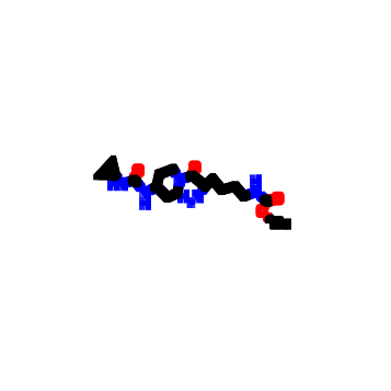 CC(C)(C)OC(=O)NCCCCC(N)C(=O)N1CCC(NC(=O)NC2CC2)CC1